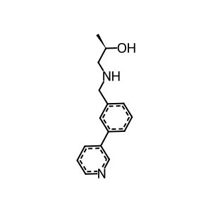 C[C@@H](O)CNCc1cccc(-c2cccnc2)c1